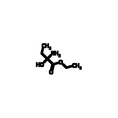 CCOC(=O)C(N)(O)CC